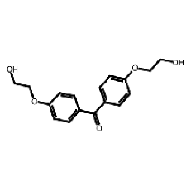 O=C(c1ccc(OCCO)cc1)c1ccc(OCCO)cc1